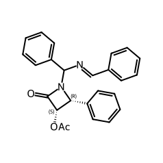 CC(=O)O[C@@H]1C(=O)N(C(N=Cc2ccccc2)c2ccccc2)[C@@H]1c1ccccc1